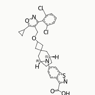 O=C(O)c1nsc2cc(N3[C@@H]4CC[C@H]3CC3(CC(OCc5c(-c6c(Cl)cccc6Cl)noc5C5CC5)C3)C4)ccc12